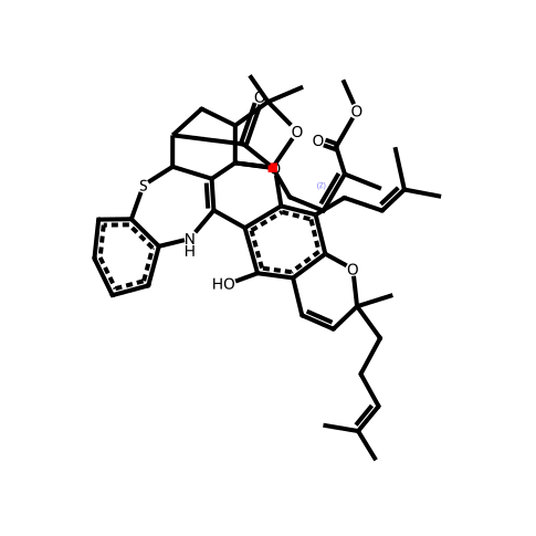 COC(=O)/C(C)=C\CC12OC(C)(C)C3CC(C1=O)C1Sc4ccccc4NC4=C1C32Oc1c(CC=C(C)C)c2c(c(O)c14)C=CC(C)(CCC=C(C)C)O2